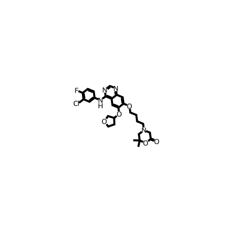 CC1(C)CN(CCCCOc2cc3ncnc(Nc4ccc(F)c(Cl)c4)c3cc2OC2CCOC2)CC(=O)O1